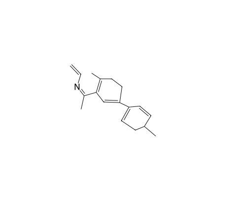 C=C/N=C(/C)C1=C(C)CCC(C2=CCC(C)C=C2)=C1